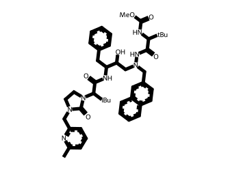 CCC(C)C(C(=O)NC(Cc1ccccc1)C(O)CN(Cc1ccc2ccccc2c1)NC(=O)C(NC(=O)OC)C(C)(C)C)N1CCN(Cc2cccc(C)n2)C1=O